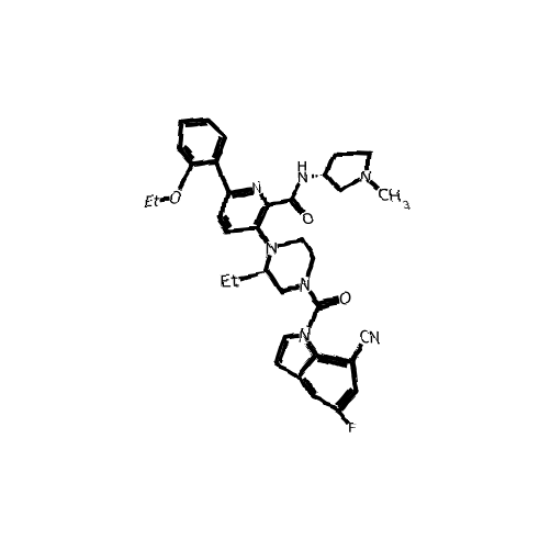 CCOc1ccccc1-c1ccc(N2CCN(C(=O)n3ccc4cc(F)cc(C#N)c43)C[C@H]2CC)c(C(=O)N[C@@H]2CCN(C)C2)n1